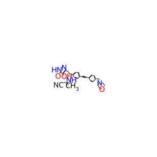 C[C@@H](CC#N)NC[C@H](Cc1nc[nH]c(=O)c1O)c1ccc(C#Cc2ccc(CN3CCOCC3)cc2)cc1